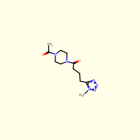 CC(=O)N1CCN(C(=O)CCCc2nnnn2C)CC1